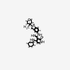 CC1(N2Cc3cc(NC(=N)c4c(NC5CCCCC5)cc[nH]c4=O)ccc3S2)CCOCC1